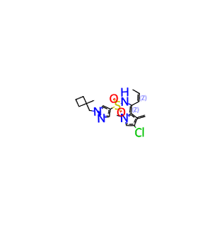 C=c1c(Cl)cn(C)/c1=C(/C=C\C)NS(=O)(=O)c1cnn(CC2(C)CCC2)c1